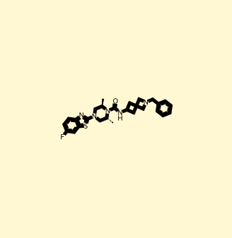 C[C@@H]1CN(c2nc3ccc(F)cc3s2)C[C@@H](C)N1C(=O)NC1CC2(C1)CN(Cc1ccccc1)C2